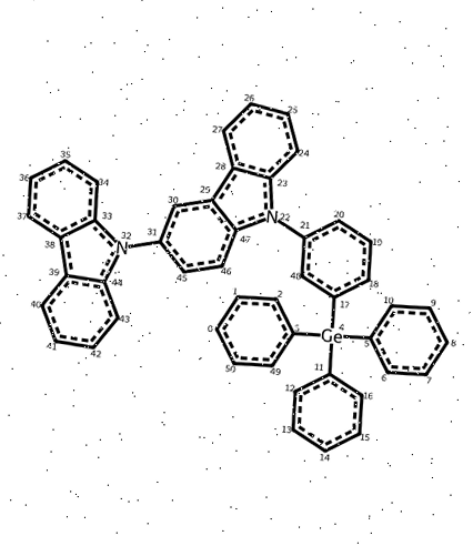 c1cc[c]([Ge]([c]2ccccc2)([c]2ccccc2)[c]2cccc(-n3c4ccccc4c4cc(-n5c6ccccc6c6ccccc65)ccc43)c2)cc1